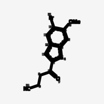 COc1cc2sc(C(=O)CCC#N)cc2cc1Br